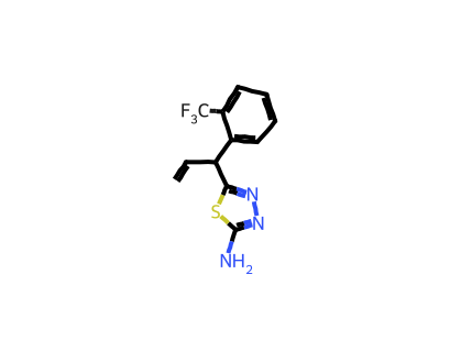 C=CC(c1nnc(N)s1)c1ccccc1C(F)(F)F